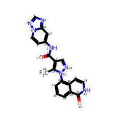 O=C(Nc1ccn2ncnc2c1)c1cnn(-c2cccc3c(=O)[nH]ccc23)c1C(F)(F)F